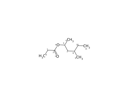 CCC(=O)OC(C)CC(C)CC